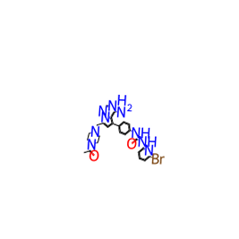 CC(=O)N1CCN(Cc2cc(-c3ccc(NC(=O)Nc4cccc(Br)n4)cc3)c3c(N)ncnn23)CC1